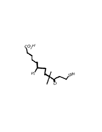 CSCCC(=O)C(C)(C)CCC(S)CCCCC(=O)O